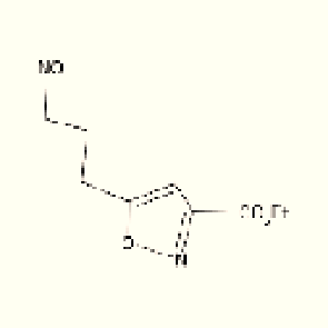 CCOC(=O)c1cc(CCCN=O)on1